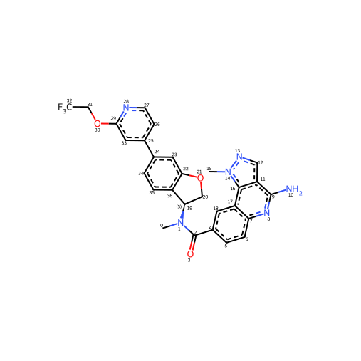 CN(C(=O)c1ccc2nc(N)c3cnn(C)c3c2c1)[C@@H]1COc2cc(-c3ccnc(OCC(F)(F)F)c3)ccc21